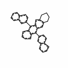 c1ccc2cc(-c3c4ccccc4c(-c4ccc5ccccc5c4)c4cc5c(cc34)CCCC5)ccc2c1